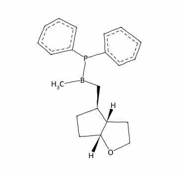 CB(C[C@@H]1CC[C@H]2OCC[C@@H]12)P(c1ccccc1)c1ccccc1